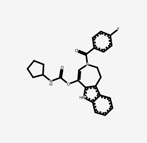 O=C(NC1CCCC1)OC1=CN(C(=O)c2ccc(F)cc2)CCc2c1[nH]c1ccccc21